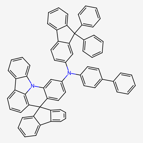 c1ccc(-c2ccc(N(c3ccc4c(c3)-n3c5ccccc5c5cccc(c53)C43c4ccccc4-c4ccccc43)c3ccc4c(c3)C(c3ccccc3)(c3ccccc3)c3ccccc3-4)cc2)cc1